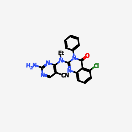 CCN(c1nc(N)ncc1C#N)c1nc2cccc(Cl)c2c(=O)n1-c1ccccc1